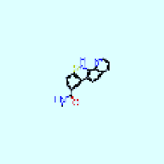 CNC(=O)c1ccc2c(c1)-c1ccc3cccnc3c1NS2